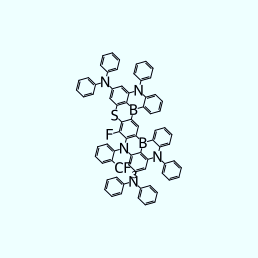 Fc1c2c(cc3c1N(c1ccccc1C(F)(F)F)c1cc(N(c4ccccc4)c4ccccc4)cc4c1B3c1ccccc1N4c1ccccc1)B1c3ccccc3N(c3ccccc3)c3cc(N(c4ccccc4)c4ccccc4)cc(c31)S2